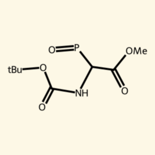 COC(=O)C(NC(=O)OC(C)(C)C)P=O